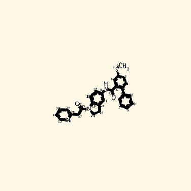 CSc1ccc(-c2ccccc2)c(C(=O)Nc2ccc3c(c2)CCN3C(=O)Cc2ccccn2)c1